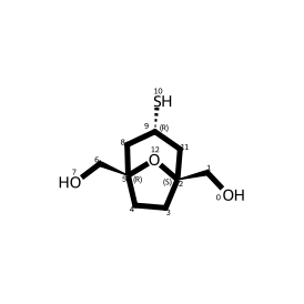 OC[C@]12CC[C@](CO)(C[C@H](S)C1)O2